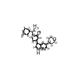 CC(c1cccc(F)c1)n1ccc(-c2c[nH]c3ncc(N4CCOCC4)cc23)cc1=O